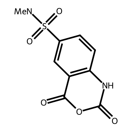 CNS(=O)(=O)c1ccc2[nH]c(=O)oc(=O)c2c1